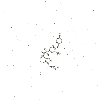 CC(C)c1cc(S(=O)(=O)N(C)[C@@H]2CCCc3c2cnn3CC(=O)O)cnc1Oc1ccc(Cl)cc1